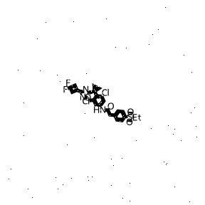 CCS(=O)(=O)c1ccc(CC(=O)Nc2cc(Cl)c(C3(c4nc(C5CC(F)(F)C5)no4)CC3)c(Cl)c2)cc1